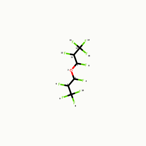 FC(OC(F)C(F)C(F)(F)F)C(F)C(F)(F)F